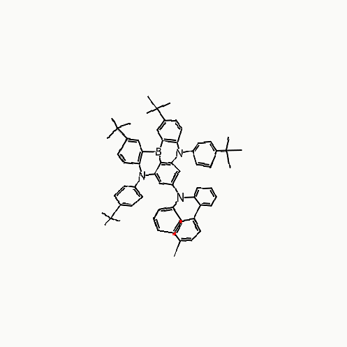 Cc1ccc(-c2ccccc2N(c2ccccc2)c2cc3c4c(c2)N(c2ccc(C(C)(C)C)cc2)c2ccc(C(C)(C)C)cc2B4c2cc(C(C)(C)C)ccc2N3c2ccc(C(C)(C)C)cc2)cc1